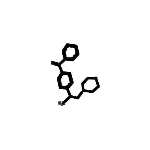 CC(CN1CCOCC1)c1ccc(C(=O)c2ccccc2)cc1